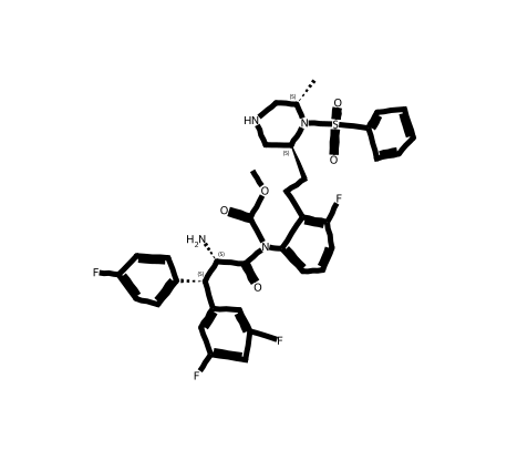 COC(=O)N(C(=O)[C@@H](N)[C@@H](c1ccc(F)cc1)c1cc(F)cc(F)c1)c1cccc(F)c1CC[C@H]1CNC[C@H](C)N1S(=O)(=O)c1ccccc1